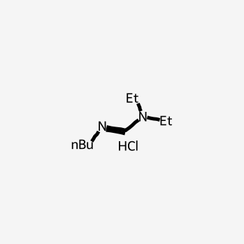 CCCCN=CN(CC)CC.Cl